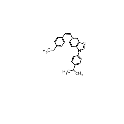 CCc1ccc(/C=C\c2ccc3c(c2)ncn3-c2ccc(C(C)C)cc2)cc1